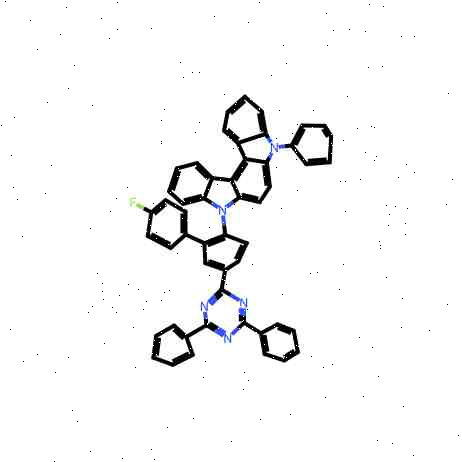 Fc1ccc(-c2cc(-c3nc(-c4ccccc4)nc(-c4ccccc4)n3)ccc2-n2c3ccccc3c3c4c5ccccc5n(-c5ccccc5)c4ccc32)cc1